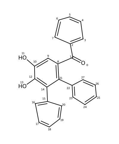 O=C(c1ccccc1)c1cc(O)c(O)c(-c2ccccc2)c1-c1ccccc1